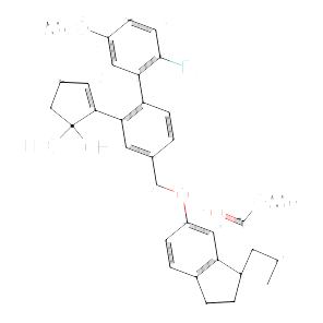 COC(=O)[C@@H]1CC[C@@]12CCc1ccc(OCc3ccc(-c4cc(OC)ccc4F)c(C4=CCCC4(C)C)c3)cc12